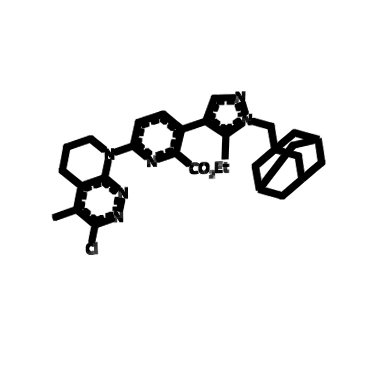 CCOC(=O)c1nc(N2CCCc3c2nnc(Cl)c3C)ccc1-c1cnn(CC23CC4CC(CC(C4)C2)C3)c1C